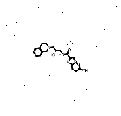 N#Cc1ccc2nc(C(=O)NC[C@H](O)CN3CCc4ccccc4C3)cn2c1